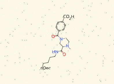 CCCCCCCCCCCCCCNC(=O)C1CN(C(=O)c2ccc(C(=O)O)cc2)CCN1C